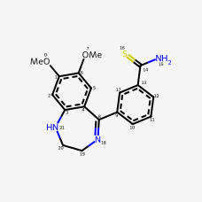 COc1cc2c(cc1OC)C(c1cccc(C(N)=S)c1)=NCCN2